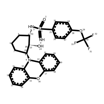 N=S(=O)(N[C@H]1CCC[C@H](N2c3ccccc3Oc3ccccc32)[C@H]1O)c1ccc(OC(F)(F)F)cc1